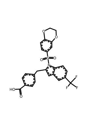 O=C(O)c1ccc(Cc2cc3cc(C(F)(F)F)ccc3n2S(=O)(=O)c2ccc3c(c2)OCCO3)cc1